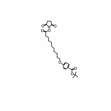 CC(C)(C)OC(=O)c1ccc(OCCCCCCCCCCC(=O)ON2C(=O)CCC2=O)cc1